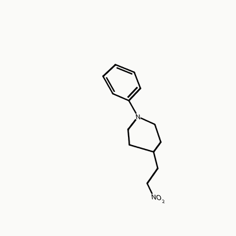 O=[N+]([O-])CCC1CCN(c2ccccc2)CC1